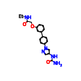 CCNC(=O)COc1cccc(-c2ccc(-n3cc(NC(N)=O)cn3)cc2)c1